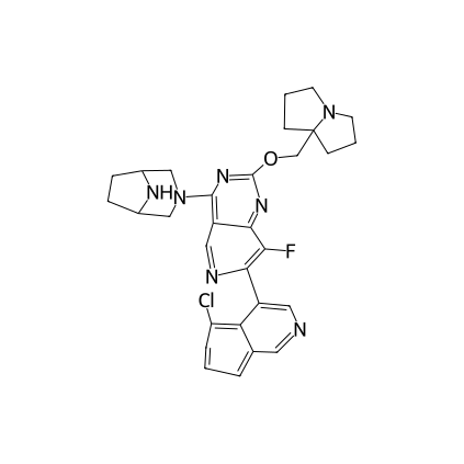 Fc1c(-c2cncc3cccc(Cl)c23)ncc2c(N3CC4CCC(C3)N4)nc(OCC34CCCN3CCC4)nc12